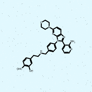 Nc1ncccc1-c1nc2ccc(N3CCOCC3)nc2n1-c1ccc(CNCCc2ccc(C=O)c(O)c2)cc1